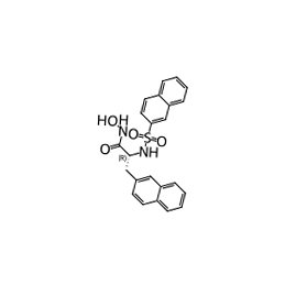 O=C(NO)[C@@H](Cc1ccc2ccccc2c1)NS(=O)(=O)c1ccc2ccccc2c1